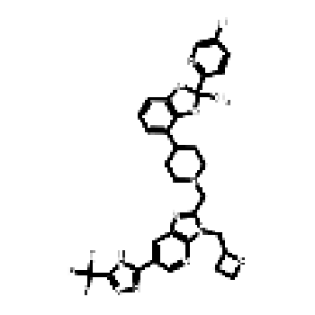 CC1(c2ccc(Cl)cn2)Oc2cccc(C3CCN(Cc4nc5cc(-c6nnc(C(F)(F)F)[nH]6)cnc5n4CC4CCO4)CC3)c2O1